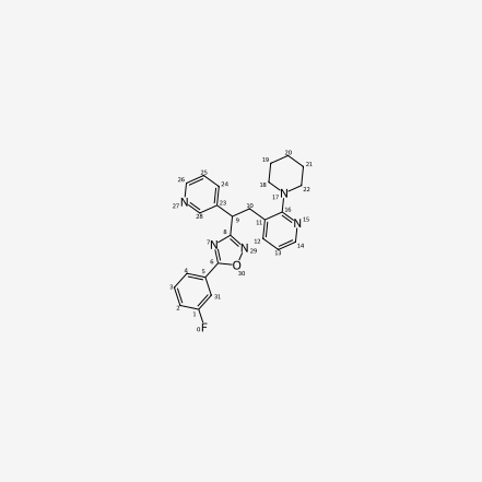 Fc1cccc(-c2nc(C(Cc3cccnc3N3CCCCC3)c3cccnc3)no2)c1